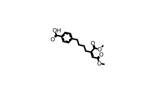 COC(=O)/C=C(/CCCCc1ccc(C(=O)O)cc1)C(=O)OC